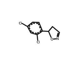 Clc1ccc(C2CC=NO2)c(Cl)c1